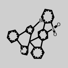 O=S1(=O)c2ccccc2-c2cc3c(cc21)-c1ccccc1C31c2ccccc2-c2ccccc2-c2ccc(Br)cc21